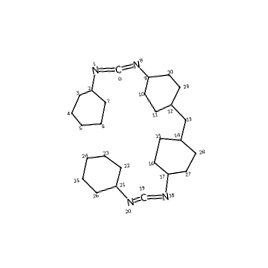 C(=NC1CCCCC1)=NC1CCC(CC2CCC(N=C=NC3CCCCC3)CC2)CC1